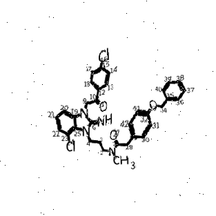 CN(CCCn1c(=N)n(CC(=O)c2ccc(Cl)cc2)c2cccc(Cl)c21)C(=O)Cc1ccc(OCc2ccccc2)cc1